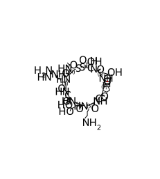 CC(=O)N[C@H]1CSS[C@@H](C(=O)O)CNC(=O)[C@H](CC(=O)O)NC(=O)[C@@H]2CCCC2C(=O)CNC(=O)[C@H](CCCCN)NC(=O)[C@H](CC(O)O)NC(=O)CNC(=O)[C@H](CCCNC(=N)N)NC1=O